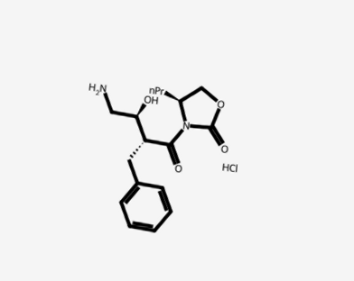 CCC[C@H]1COC(=O)N1C(=O)[C@H](Cc1ccccc1)[C@H](O)CN.Cl